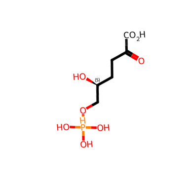 O=C(O)C(=O)CC[C@H](O)CO[PH](O)(O)O